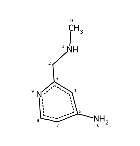 CNCc1cc(N)ccn1